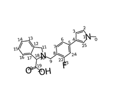 Cn1ccc(-c2ccc(CN3Cc4ccccc4C3C(=O)O)c(F)c2)c1